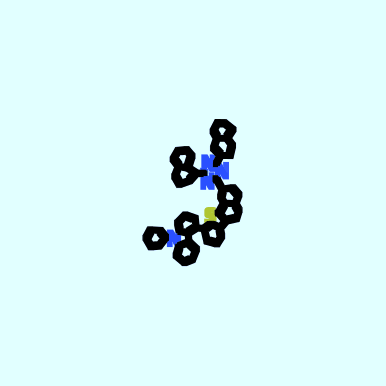 c1ccc(-n2c3ccccc3c3c(-c4cccc5c4sc4c6cc(-c7nc(-c8ccc9ccccc9c8)nc(-c8cccc9ccccc89)n7)ccc6ccc54)cccc32)cc1